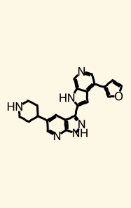 c1cc(-c2cncc3[nH]c(-c4n[nH]c5ncc(C6CCNCC6)cc45)cc23)co1